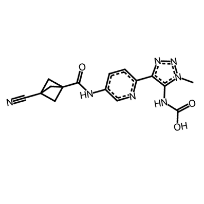 Cn1nnc(-c2ccc(NC(=O)C34CC(C#N)(C3)C4)cn2)c1NC(=O)O